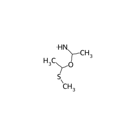 CSC(C)OC(C)[NH]